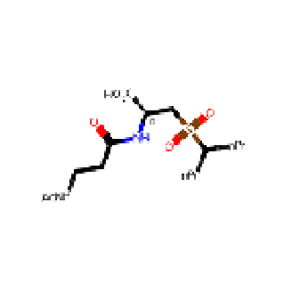 CCCC(CCC)S(=O)(=O)C[C@@H](NC(=O)CCNC(C)=O)C(=O)O